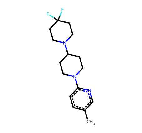 Cc1ccc(N2CCC(N3CCC(F)(F)CC3)CC2)nc1